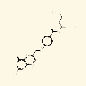 Nc1nc2ncc(CNc3ccc(C(=O)NC(CCC(=O)O)C(=O)O)cc3)nc2c(=O)[nH]1.[Ag]